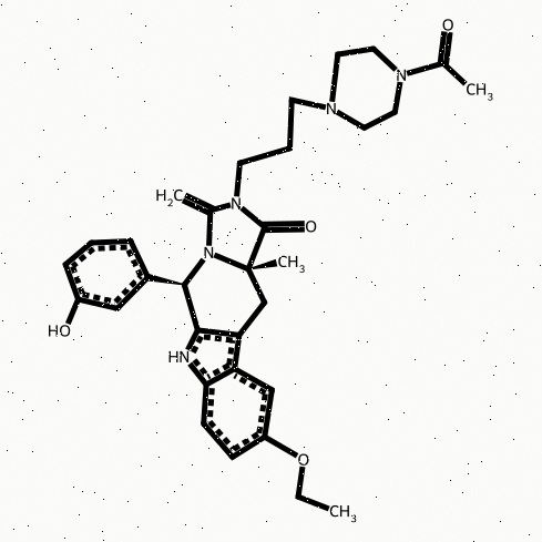 C=C1N(CCCN2CCN(C(C)=O)CC2)C(=O)[C@]2(C)Cc3c([nH]c4ccc(OCC)cc34)[C@@H](c3cccc(O)c3)N12